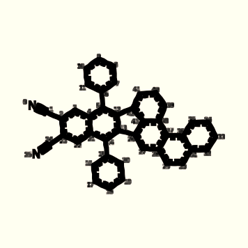 N#Cc1cc2c(-c3ccccc3)c3c(c(-c4ccccc4)c2cc1C#N)-c1cc2ccc4ccccc4c2c2cccc-3c12